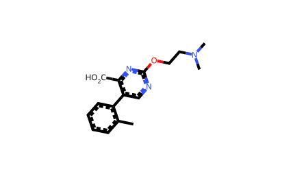 Cc1ccccc1-c1cnc(OCCN(C)C)nc1C(=O)O